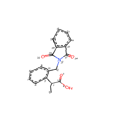 CC(C(=O)O)c1ccccc1CN1C(=O)c2ccccc2C1=O